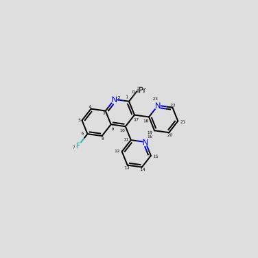 CC(C)c1nc2ccc(F)cc2c(-c2ccccn2)c1-c1ccccn1